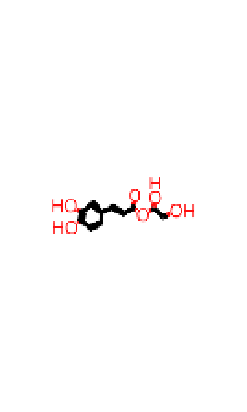 O=C(/C=C/c1ccc(O)c(O)c1)OC(O)CO